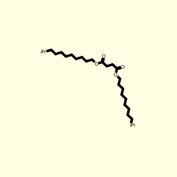 CC(C)CCCCCCCCCOC(=O)CCC(=O)OCCCCCCCCCC(C)C